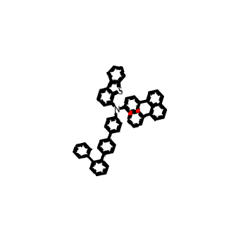 c1ccc(-c2ccccc2-c2ccc(-c3ccc(N(c4ccc(-c5cccc6cccc(-c7ccccc7)c56)cc4)c4cccc5c4sc4ccccc45)cc3)cc2)cc1